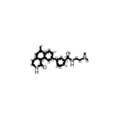 Cc1cc2cc[nH]c(=O)c2c2cc(-c3cccc(C(=O)NCCN(C)C)c3)ccc12